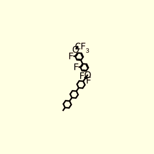 CC1CCC(C2CCC(C3CCC(C(F)(F)Oc4ccc(-c5ccc(OC(F)(F)F)c(F)c5)c(F)c4)CC3)CC2)CC1